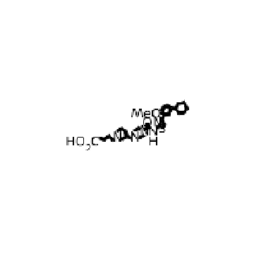 COc1ccc(C2CCCCC2)cc1-c1csc(NC(=O)N2CCN(CC3CCCN(CCCCC(=O)O)C3)CC2)n1